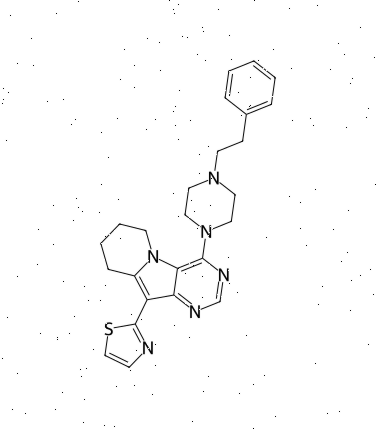 c1ccc(CCN2CCN(c3ncnc4c(-c5nccs5)c5n(c34)CCCC5)CC2)cc1